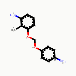 Cc1c(N)cccc1OCOc1ccc(N)cc1